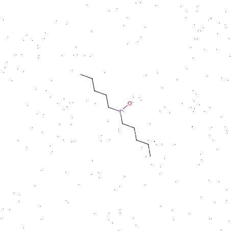 CCCCC[I+]([O-])CCCCC